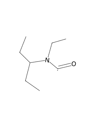 CCC(CC)N([C]=O)CC